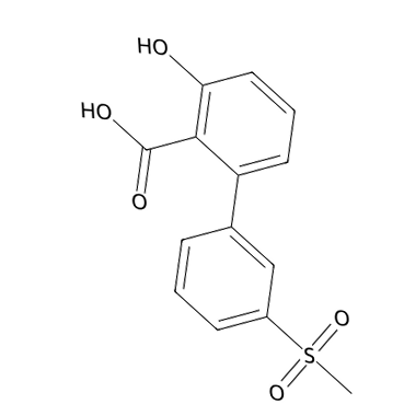 CS(=O)(=O)c1cccc(-c2cccc(O)c2C(=O)O)c1